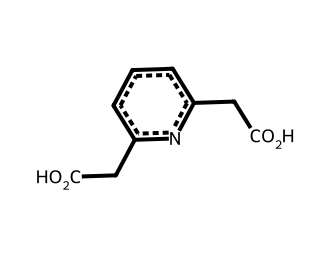 O=C(O)Cc1cccc(CC(=O)O)n1